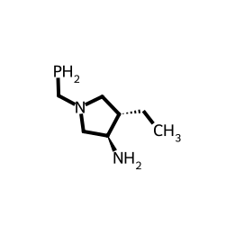 CC[C@H]1CN(CP)C[C@@H]1N